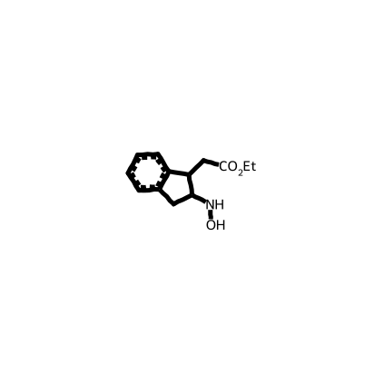 CCOC(=O)CC1c2ccccc2CC1NO